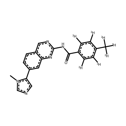 [2H]c1c([2H])c(C([2H])([2H])[2H])c([2H])c([2H])c1C(=O)Nc1ncc2ccc(-c3cncn3C)cc2n1